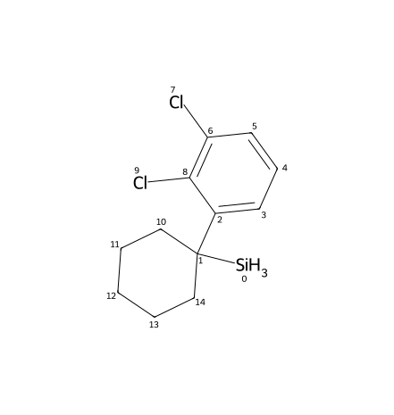 [SiH3]C1(c2cccc(Cl)c2Cl)CCCCC1